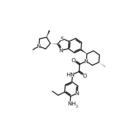 CCc1cc(NC(=O)C(=O)N2C[C@@H](C)CC[C@@H]2c2ccc3sc([C@@H]4CN(C)C[C@H]4C)nc3c2)cnc1N